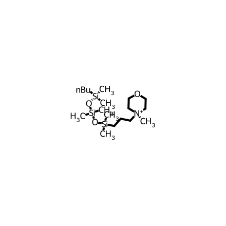 CCCC[Si](C)(C)O[Si](C)(C)O[Si](C)(C)CCC[N+]1(C)CCOCC1